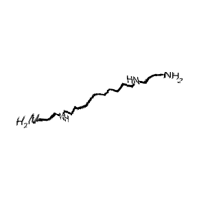 NCCNCCCCCCCCCCNCCN